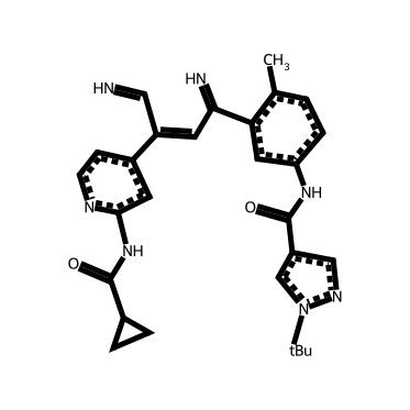 Cc1ccc(NC(=O)c2cnn(C(C)(C)C)c2)cc1C(=N)/C=C(\C=N)c1ccnc(NC(=O)C2CC2)c1